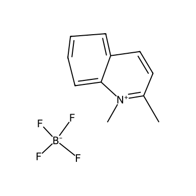 Cc1ccc2ccccc2[n+]1C.F[B-](F)(F)F